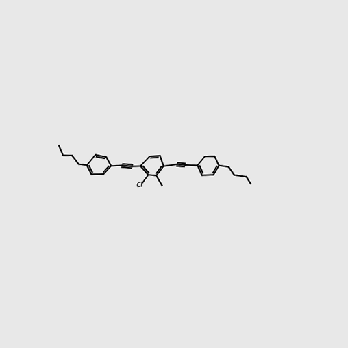 CCCCC1=CC=C(C#Cc2ccc(C#Cc3ccc(CCCC)cc3)c(Cl)c2C)CC1